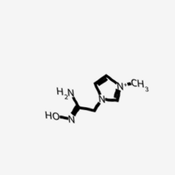 C[n+]1ccn(C/C(N)=N/O)c1